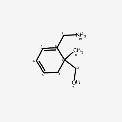 CC1(CO)CC=C[C]=C1CN